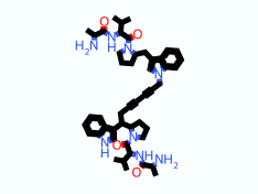 CC(N)C(=O)NC(C(=O)N1CCCC1Cc1cn(CC#CC#CCC(c2c[nH]c3ccccc23)C2CCCN2C(=O)C(NC(=O)C(C)N)C(C)C)c2ccccc12)C(C)C